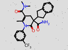 CC1=C(C(=O)N(C)C)CC(C(N)=O)(C2Cc3ccccc3C2)C(=O)N1c1cccc(C(F)(F)F)c1